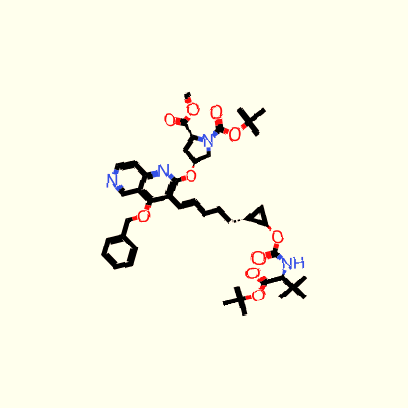 COC(=O)[C@@H]1C[C@@H](Oc2nc3ccncc3c(OCc3ccccc3)c2/C=C/CCC[C@@H]2C[C@H]2OC(=O)N[C@H](C(=O)OC(C)(C)C)C(C)(C)C)CN1C(=O)OC(C)(C)C